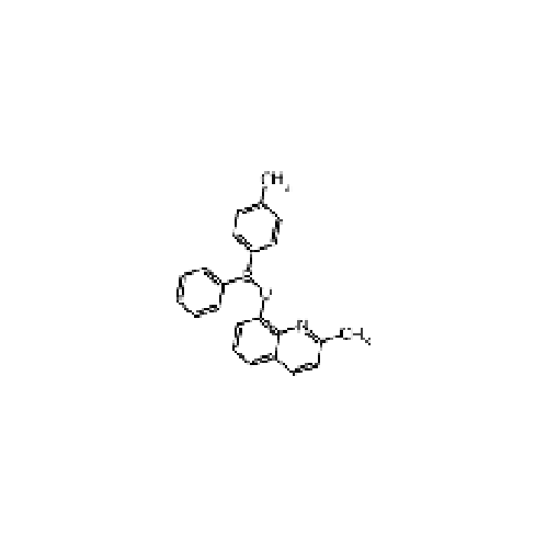 Cc1ccc(B(Oc2cccc3ccc(C)nc23)c2ccccc2)cc1